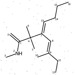 C=C(NC)C(C)(C)C(/C=C(\C)CC)=C/CCC